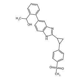 CC(O)c1ccccc1-c1ccc2[nH]c(C3CC3c3ccc(S(C)(=O)=O)cc3)nc2c1